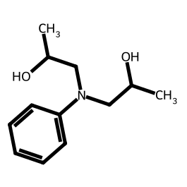 CC(O)CN(CC(C)O)c1ccccc1